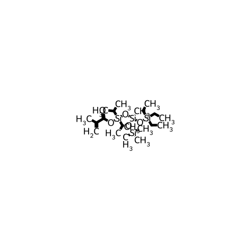 C=C(C)C(=O)O[Si](O[Si](C)(O[Si](C)(C)C)O[Si](CC)(CC)CC)(C(C)C)C(C)C